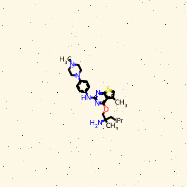 Cc1csc2nc(Nc3ccc(N4CCN(C)CC4)cc3)nc(OCC(C)(N)CC(C)C)c12